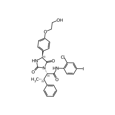 C[C@@H](c1ccccc1)[C@@H](C(=O)Nc1ccc(I)cc1Cl)N1C(=O)N[C@@H](c2ccc(OCCO)cc2)C1=O